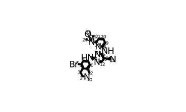 CN1CCc2c(Br)cc(Nc3ncc(C#N)c(Nc4cccc(N=S(C)(C)=O)n4)n3)cc2C1